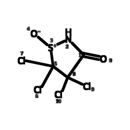 O=C1N[S+]([O-])C(Cl)(Cl)C1(Cl)Cl